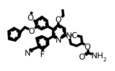 CCOc1cc(N2CCC(OC(N)=O)CC2)nc(-c2ccc(C#N)c(F)c2)c1-c1ccc(OC)c(OCc2ccccc2)c1